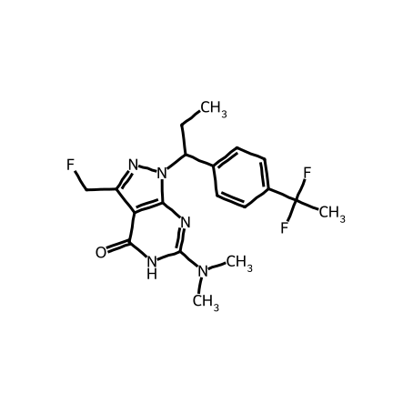 CCC(c1ccc(C(C)(F)F)cc1)n1nc(CF)c2c(=O)[nH]c(N(C)C)nc21